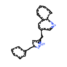 c1ccc(-c2cc(-c3cnc4ccccc4c3)[nH]n2)cc1